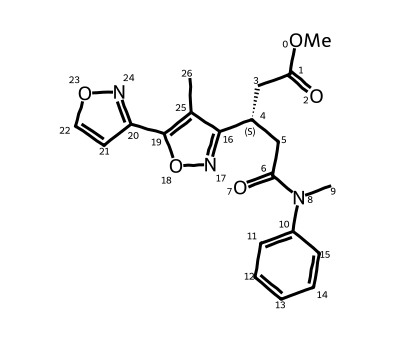 COC(=O)C[C@H](CC(=O)N(C)c1ccccc1)c1noc(-c2ccon2)c1C